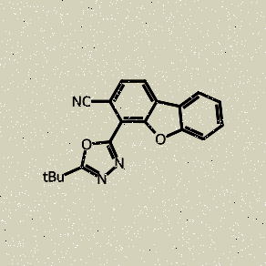 CC(C)(C)c1nnc(-c2c(C#N)ccc3c2oc2ccccc23)o1